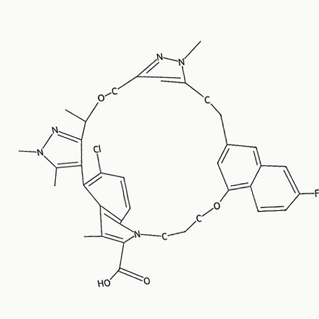 Cc1c(C(=O)O)n2c3ccc(Cl)c(c13)-c1c(nn(C)c1C)C(C)OCc1cc(n(C)n1)CCc1cc(c3ccc(F)cc3c1)OCCC2